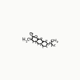 CC(=O)N(C)c1ccc2cc3cc(C)c(=O)oc3cc2c1